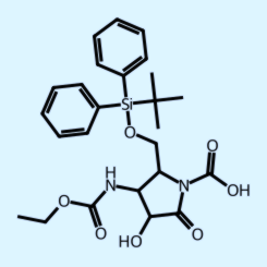 CCOC(=O)NC1C(O)C(=O)N(C(=O)O)C1CO[Si](c1ccccc1)(c1ccccc1)C(C)(C)C